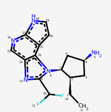 CC[C@@H]1C[C@H](N)C[C@@H]1n1c(C(F)F)nc2cnc3[nH]ccc3c21